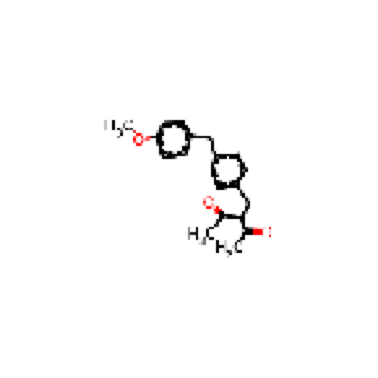 COc1ccc(Cc2ccc(CC(C(C)=O)C(C)=O)cc2)cc1